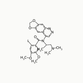 COc1cc(I)c(C(=O)N(c2cnnc3cc4c(cc23)OCO4)C(C)CN(C)C)cc1OC